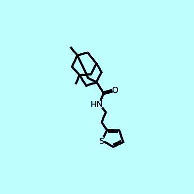 CC12CC3CC(C)(C1)CC(C(=O)NCCc1cccs1)(C3)C2